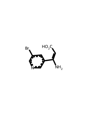 N/C(=C/C(=O)O)c1cncc(Br)c1